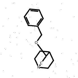 c1ccc(COC2CN3CCC2CC3)cc1